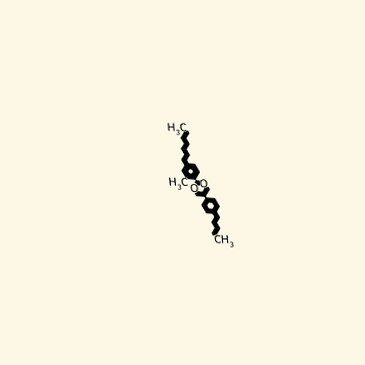 CCCCCCCc1ccc([C@H]2OC[C@H](C3CCC(CCCCC)CC3)CO2)c(C)c1